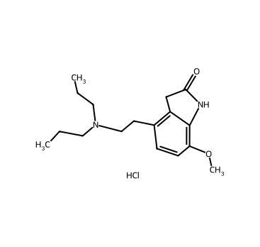 CCCN(CCC)CCc1ccc(OC)c2c1CC(=O)N2.Cl